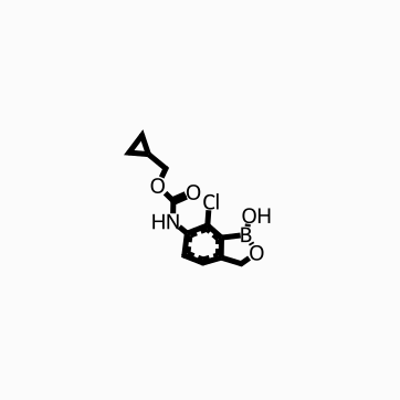 O=C(Nc1ccc2c(c1Cl)B(O)OC2)OCC1CC1